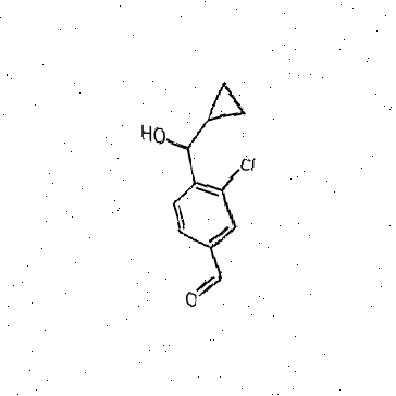 O=Cc1ccc(C(O)C2CC2)c(Cl)c1